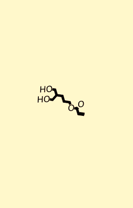 C=CC(=O)OCCCC(CO)CO